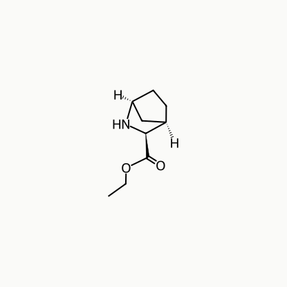 CCOC(=O)[C@H]1N[C@H]2CC[C@@H]1C2